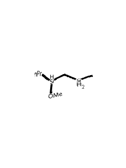 CCC[SiH](C[SiH2]C)OC